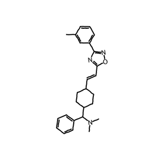 Cc1cccc(-c2noc(C=CC3CCC(C(c4ccccc4)N(C)C)CC3)n2)c1